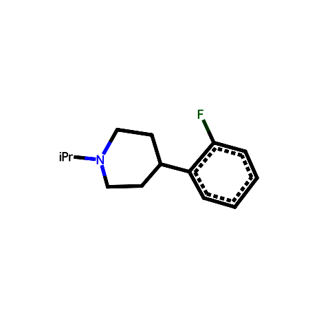 CC(C)N1CCC(c2ccccc2F)CC1